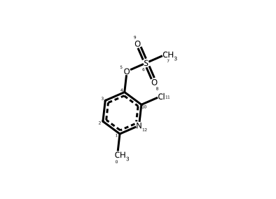 Cc1ccc(OS(C)(=O)=O)c(Cl)n1